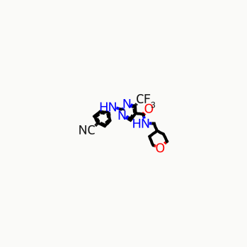 N#Cc1ccc(Nc2ncc(C(=O)NCC3CCOCC3)c(C(F)(F)F)n2)cc1